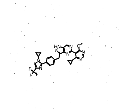 COc1ncnc(C2CC2)c1-c1ncc2[nH]nc(Cc3ccc(-c4nc(C(F)(F)F)cn4C4CC4)cc3)c2n1